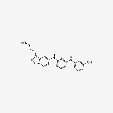 OCCCn1ncc2ccc(Nc3nccc(Nc4cccc(O)c4)n3)cc21